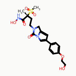 C[C@@](CCN1Cc2cc(-c3ccc(OCCO)cc3)cn2C1=O)(C(=O)NO)S(C)(=O)=O